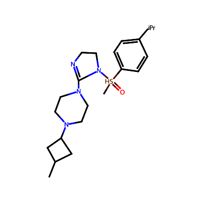 CC1CC(N2CCN(C3=NCCN3[SH](C)(=O)c3ccc(C(C)C)cc3)CC2)C1